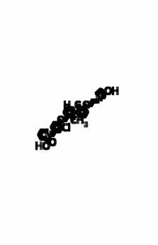 Cc1c(COc2ccc(CN3CCCCC3C(=O)O)cc2Cl)cccc1-c1cccc(OCCCN2CCC(O)C2)c1C